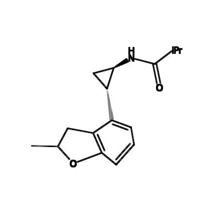 CC1Cc2c(cccc2[C@@H]2C[C@H]2NC(=O)C(C)C)O1